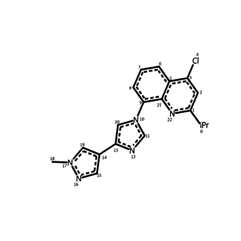 CC(C)c1cc(Cl)c2cccc(-n3cnc(-c4cnn(C)c4)c3)c2n1